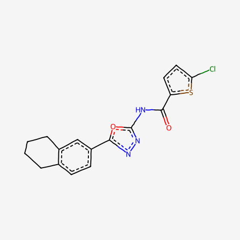 O=C(Nc1nnc(-c2ccc3c(c2)CCCC3)o1)c1ccc(Cl)s1